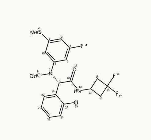 CSc1cc(F)cc(N(C=O)[C@H](C(=O)NC2CC(F)(F)C2)c2ccccc2Cl)c1